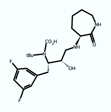 CC(C)(C)N(C(=O)O)[C@@H](Cc1cc(F)cc(F)c1)[C@@H](O)CN[C@H]1CCCCNC1=O